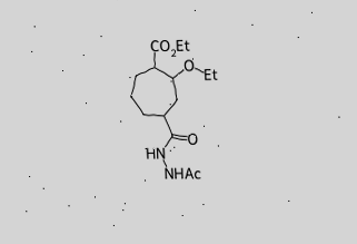 CCOC(=O)C1CCCC(C(=O)NNC(C)=O)CC1OCC